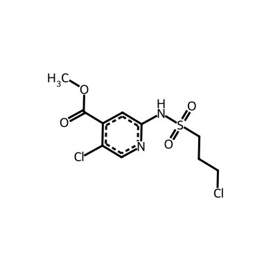 COC(=O)c1cc(NS(=O)(=O)CCCCl)ncc1Cl